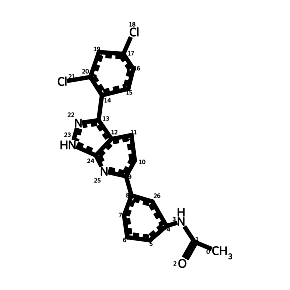 CC(=O)Nc1cccc(-c2ccc3c(-c4ccc(Cl)cc4Cl)n[nH]c3n2)c1